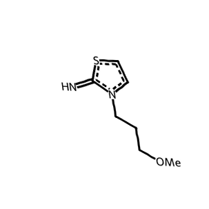 COCCCn1ccsc1=N